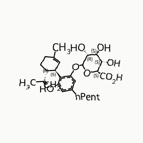 C=C(C)[C@@H]1CCC(C)=C[C@H]1c1c(O)cc(CCCCC)cc1OC1O[C@H](C(=O)O)[C@@H](O)[C@H](O)[C@H]1O